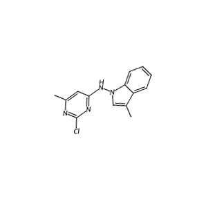 Cc1cc(Nn2cc(C)c3ccccc32)nc(Cl)n1